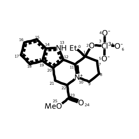 CCC1(O[Cl+3]([O-])([O-])[O-])CCC[N+]2=C1c1[nH]c3ccccc3c1CC2C(=O)OC